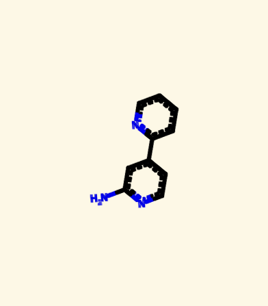 Nc1cc(-c2ccccn2)ccn1